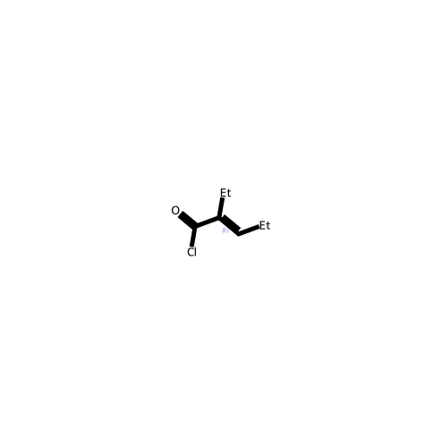 CC/C=C(\CC)C(=O)Cl